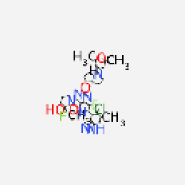 COc1nc(-c2c(Cl)c(C)cc3[nH]ncc23)c(F)c2nc(OC[C@]34CCC[C@H]3N(C3C[C@@H](C)O[C@@H](C)C3)CCC4)nc(N3CCC[C@](O)(CF)C3)c12